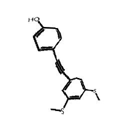 CSc1cc(C#Cc2ccc(O)cc2)cc(SC)c1